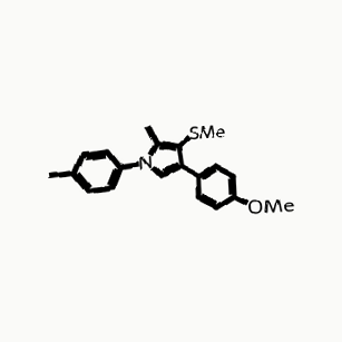 COc1ccc(-c2cn(-c3ccc(C)cc3)c(C)c2SC)cc1